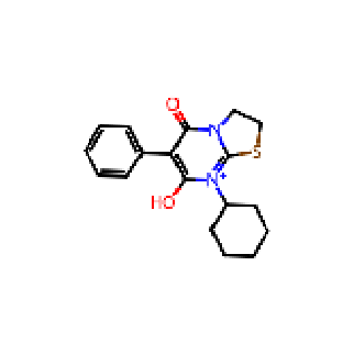 O=c1c(-c2ccccc2)c(O)[n+](C2CCCCC2)c2n1CCS2